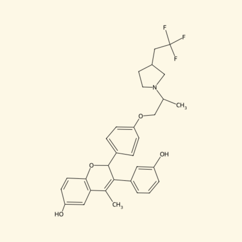 CC1=C(c2cccc(O)c2)C(c2ccc(OCC(C)N3CCC(CC(F)(F)F)C3)cc2)Oc2ccc(O)cc21